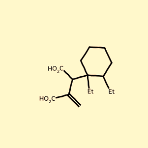 C=C(C(=O)O)C(C(=O)O)C1(CC)CCCCC1CC